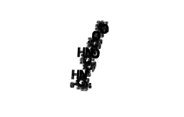 CC1CC(NCc2ccc3c(c2)CC[C@H](NC(=O)c2ccc(OC[C@@H]4CCCO4)cc2)C3)CC(C)(C)C1